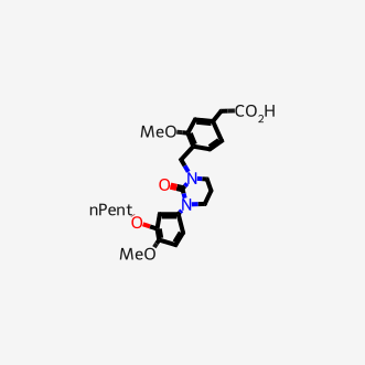 CCCCCOc1cc(N2CCCN(Cc3ccc(CC(=O)O)cc3OC)C2=O)ccc1OC